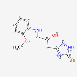 COc1ccccc1NCC(O)Cc1n[nH]c(=S)[nH]1